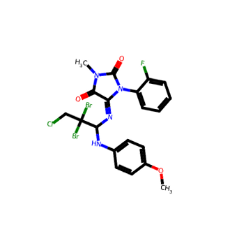 COc1ccc(NC(N=C2C(=O)N(C)C(=O)N2c2ccccc2F)C(Br)(Br)CCl)cc1